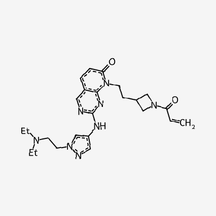 C=CC(=O)N1CC(CCn2c(=O)ccc3cnc(Nc4cnn(CCN(CC)CC)c4)nc32)C1